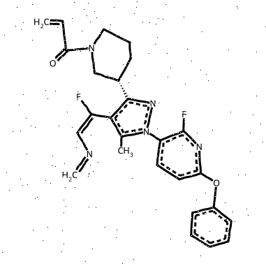 C=CC(=O)N1CCC[C@H](c2nn(-c3ccc(Oc4ccccc4)nc3F)c(C)c2/C(F)=C\N=C)C1